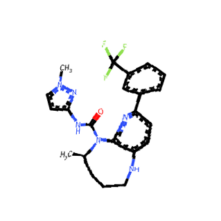 C[C@@H]1CCCNc2ccc(-c3cccc(C(F)(F)F)c3)nc2N1C(=O)Nc1ccn(C)n1